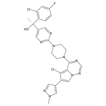 Cn1cc(-c2cn3ncnc(N4CCN(c5ncc([C@@](C)(O)c6ccc(F)cc6Cl)cn5)CC4)c3c2Cl)cn1